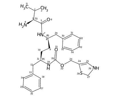 CC(C)[C@H](N)C(=O)N[C@H](CC[C@H](Cc1ccccc1)NC(=O)OCC1=CNCS1)Cc1ccccc1